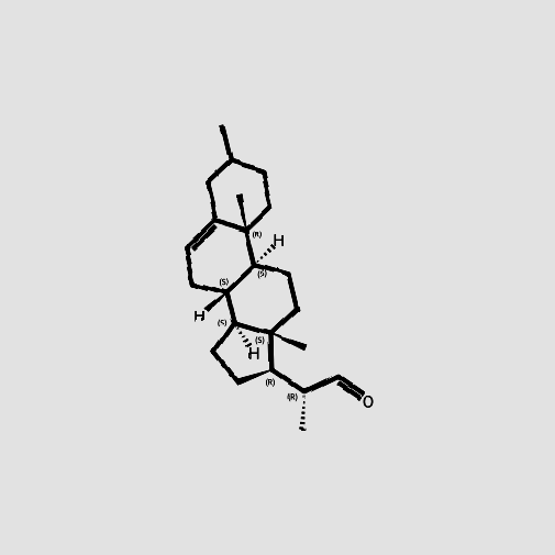 CC1CC[C@@]2(C)C(=CC[C@H]3[C@@H]4CC[C@H]([C@@H](C)C=O)[C@@]4(C)CC[C@@H]32)C1